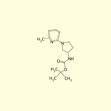 Cc1cccc(N2CCC(NC(=O)OC(C)(C)C)C2)n1